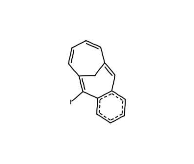 IC1=C2C=CC=CC(=Cc3ccccc31)C2